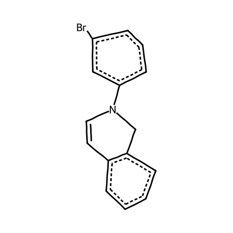 Brc1cccc(N2C=Cc3ccccc3C2)c1